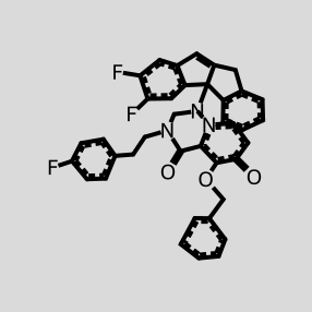 O=C1c2c(OCc3ccccc3)c(=O)ccn2N(C23C(=Cc4cc(F)c(F)cc42)Cc2ccccc23)CN1CCc1ccc(F)cc1